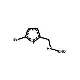 CC(C)c1nc(CN[C]=O)cs1